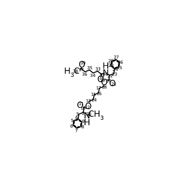 CNC(Cc1ccccc1)C(=O)OCCCCCCOC(=O)C(Cc1ccccc1)NC(=O)CCCCC(C)=O